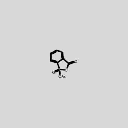 CC(=O)OI1(=O)OC(=O)c2ccccc21